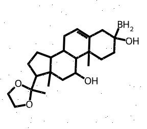 BC1(O)CCC2(C)C(=CCC3C2C(O)CC2(C)C3CCC2C2(C)OCCO2)C1